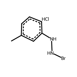 Cc1cccc(NNBr)c1.Cl